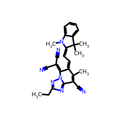 CCc1nc2c(C#N)c(C)/c(=C/C=C3/N(C)c4ccccc4C3(C)C)c(=C(C#N)C#N)n2n1